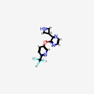 FC(F)(F)c1ccc(Oc2nccnc2C2CNC2)cn1